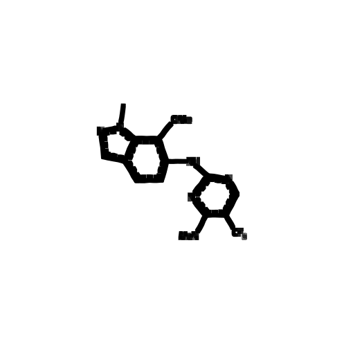 CNc1nc(Nc2ccc3cnn(C)c3c2OC)ncc1C(F)(F)F